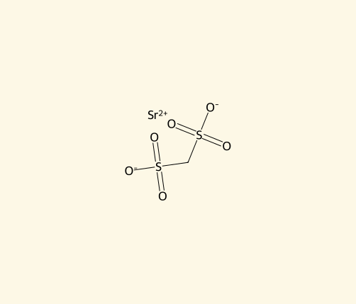 O=S(=O)([O-])CS(=O)(=O)[O-].[Sr+2]